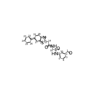 O=Cc1cccc(NC(=O)CNC(=O)Cc2nc3ccc(-c4ccccc4)cc3s2)c1